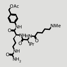 CNCCCCC(=O)N[C@H](C(=O)N[C@@H](CCCNC(N)=O)C(=O)Nc1ccc(COC(C)=O)cc1)C(C)C